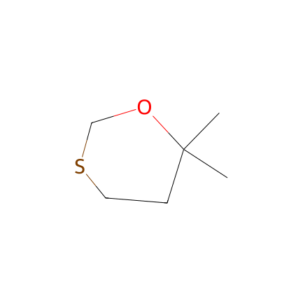 CC1(C)CCSCO1